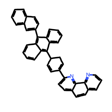 C1=CC(c2c3ccccc3c(-c3ccc4ccccc4c3)c3ccccc23)CC=C1c1ccc2ccc3cccnc3c2n1